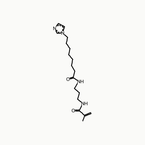 C=C(C)C(=O)NCCCNC(=O)CCCCCCCn1ccnc1